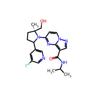 CC(C)NC(=O)c1cnn2ccc(N3C(c4cncc(F)c4)CC[C@@]3(C)CO)nc12